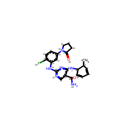 CC1C=CC=CC1Nc1nc(Nc2cc(N3CCCC3=O)ccc2F)ncc1C(N)=O